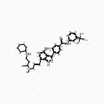 CC(CCNC1CCCCC1)N(C)C/C=C/c1cnc(N)c2c(-c3ccc(C(=O)Nc4cc(C(F)(F)F)ccn4)cc3)n[nH]c12